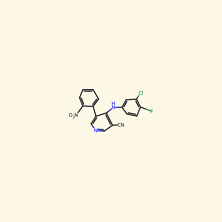 N#Cc1cncc(-c2ccccc2[N+](=O)[O-])c1Nc1ccc(F)c(Cl)c1